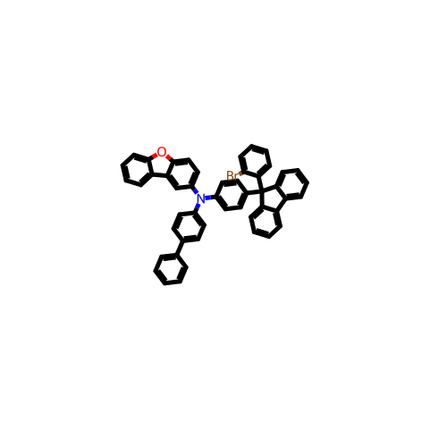 Brc1ccccc1C1(c2ccc(N(c3ccc(-c4ccccc4)cc3)c3ccc4oc5ccccc5c4c3)cc2)c2ccccc2-c2ccccc21